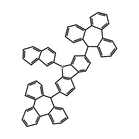 c1ccc2c(c1)-c1ccccc1C(c1ccc3c4ccc(C5c6ccccc6-c6ccccc6-c6ccccc65)cc4n(-c4ccc5ccccc5c4)c3c1)c1ccccc1-2